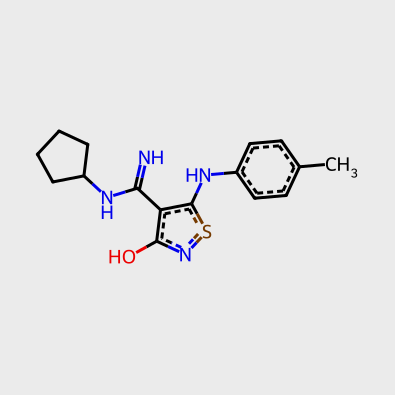 Cc1ccc(Nc2snc(O)c2C(=N)NC2CCCC2)cc1